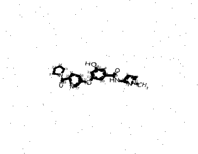 Cn1ccc(NC(=O)c2cc(O)cc(Oc3ccc(C(=O)N4CCCC4)nc3)c2)n1